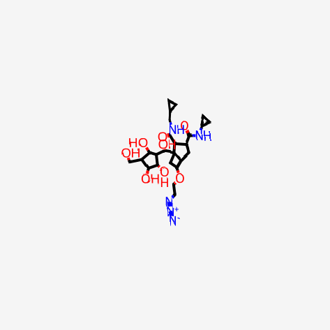 [N-]=[N+]=NCCOC1CC2(C(O)C3C(O)C(O)C(CO)C3O)C1CC(C(=O)NC1CC1)C2C(=O)NCC1CC1